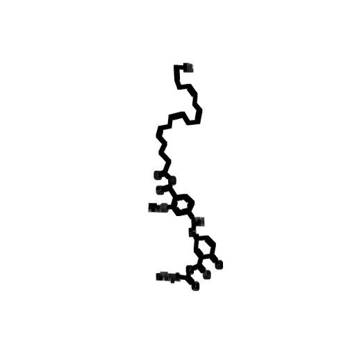 CC/C=C\C/C=C\C/C=C\C/C=C\C/C=C\CCCC(=O)OC(=O)c1ccc(N/N=C2\C=CC(=O)C(C(=O)OC(=O)CCCCCCC)=C2)cc1OC